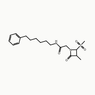 CC1C(=O)N(CC(=O)NCCCCCCc2ccccc2)C1S(C)(=O)=O